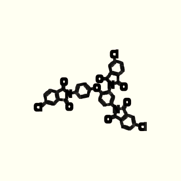 O=C1c2ccc(Cl)cc2C(=O)N1c1ccc(Oc2ccc(N3C(=O)c4ccc(Cl)cc4C3=O)cc2N2C(=O)c3ccc(Cl)cc3C2=O)cc1